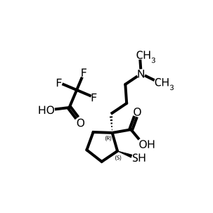 CN(C)CCC[C@@]1(C(=O)O)CCC[C@@H]1S.O=C(O)C(F)(F)F